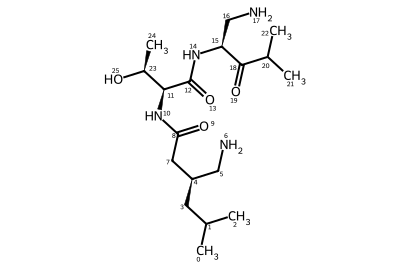 CC(C)C[C@H](CN)CC(=O)N[C@H](C(=O)N[C@@H](CN)C(=O)C(C)C)[C@H](C)O